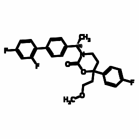 COCCC1(c2ccc(F)cc2)CCN([C@@H](C)c2ccc(-c3ccc(F)cc3F)cc2)C(=O)O1